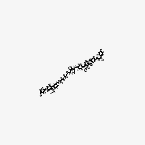 CCn1c2ccc(CNCCCCCCCCC(=O)NCc3ccc(-c4c5ncn(CC6(O)CCN(C(=O)C[C@@H](C)c7ccccc7)CC6)c(=O)c5nn4C)cc3)cc2c2ccc(-c3cc(C)cs3)cc21